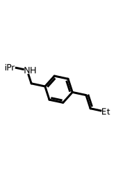 CC/C=C/c1ccc(CNC(C)C)cc1